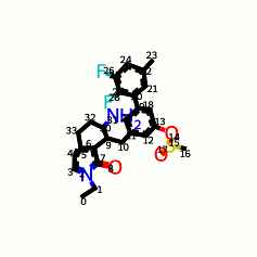 CCn1ccc2c(c1=O)C(Cc1cc(OS(C)=O)cc(-c3cc(C)cc(F)c3F)c1)C(N)CC2